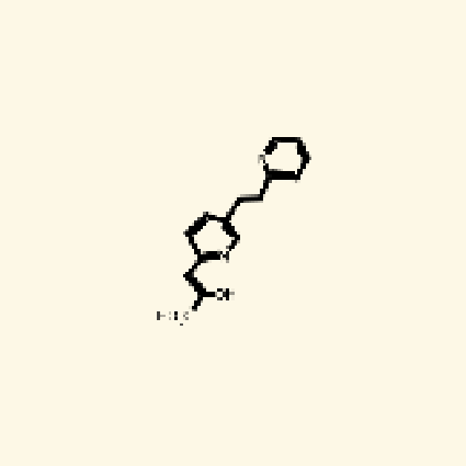 O=C(O)/C(O)=C/c1ccc(CCc2ccccn2)cn1